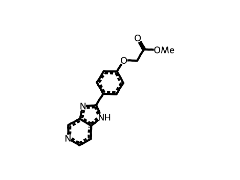 COC(=O)COc1ccc(-c2nc3cnccc3[nH]2)cc1